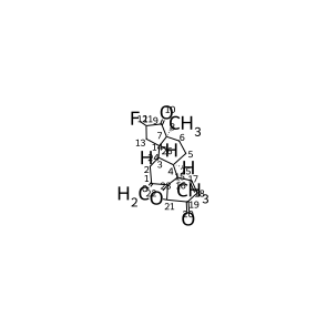 C=C1C[C@@H]2[C@@H](CC[C@]3(C)C(=O)C(F)C[C@@H]23)[C@@]2(C)C=CC(=O)C3OC132